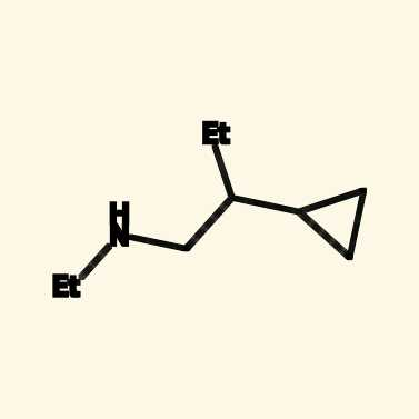 CCNCC(CC)C1CC1